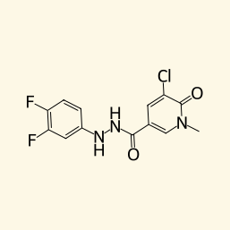 Cn1cc(C(=O)NNc2ccc(F)c(F)c2)cc(Cl)c1=O